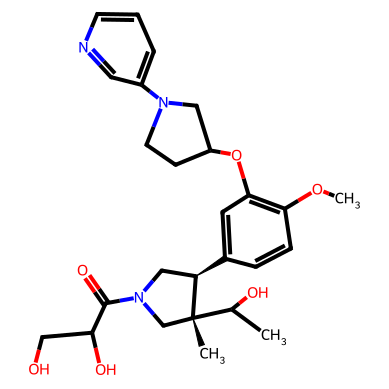 COc1ccc([C@@H]2CN(C(=O)C(O)CO)C[C@@]2(C)C(C)O)cc1OC1CCN(c2cccnc2)C1